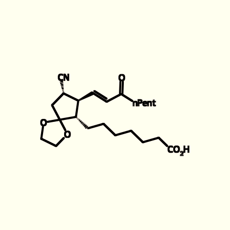 CCCCCC(=O)C=C[C@@H]1[C@@H](C#N)CC2(OCCO2)[C@H]1CCCCCCC(=O)O